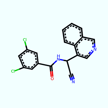 N#CC(NC(=O)c1cc(Cl)cc(Cl)c1)c1cncc2ccccc12